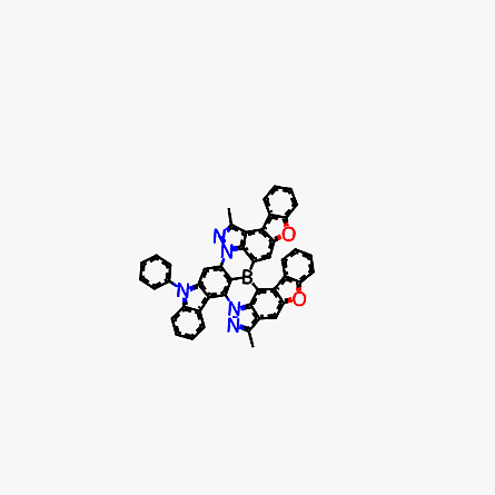 Cc1nn2c3c(c4c(cc13)oc1ccccc14)B1c3c(cc4c(c3-2)c2ccccc2n4-c2ccccc2)-n2nc(C)c3c4c(cc1c32)oc1ccccc14